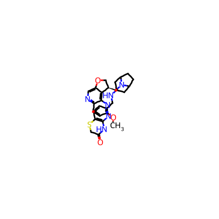 COc1ccc2ncc3c(c2n1)[C@H](CN1C2CCC1CC(NCc1ccc4c(n1)NC(=O)CS4)C2)CO3